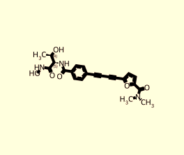 C[C@@H](O)[C@H](NC(=O)c1ccc(C#CC#Cc2ccc(C(=O)N(C)C)o2)cc1)C(=O)NO